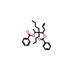 C=CCC(OC(=O)c1ccccc1)C(CCCC)(CCCC)C(C)OC(=O)c1ccccc1